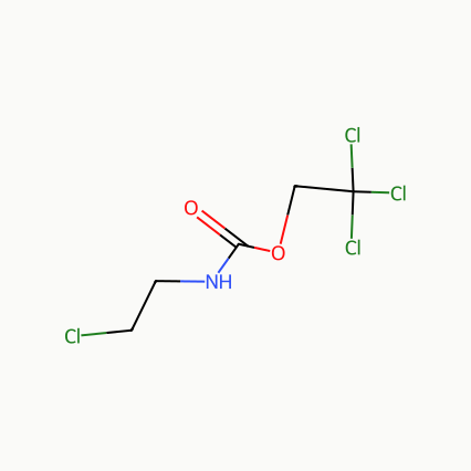 O=C(NCCCl)OCC(Cl)(Cl)Cl